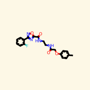 Cc1ccc(OCC(=O)NCCNC(=O)c2nc(-c3ccccc3F)no2)cc1